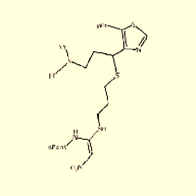 CCCCCNC(=C[N+](=O)[O-])NCCCSC(CCN(CC)CC)c1ncsc1CCC